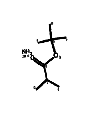 CC(C)C(=O)OC(C)(C)C.N